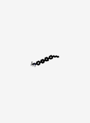 CCCCCC1CCC(c2ccc(-c3ccc(C4CCC(/C(F)=C/C(F)(F)F)CC4)cc3)cc2)CC1